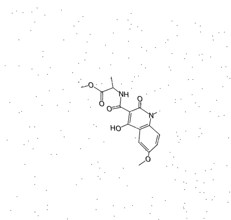 COC(=O)C(C)NC(=O)c1c(O)c2cc(OC)ccc2n(C)c1=O